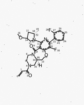 C=CC(=O)N1CCN2C(=O)c3c(N4CC(OC)C[C@@H]4C)nc(-c4ccccc4F)c(F)c3OC[C@H]2C1